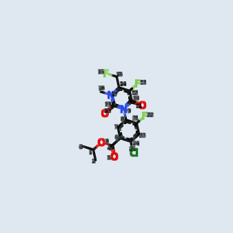 CC(C)OC(=O)c1cc(-n2c(=O)c(F)c(CF)n(C)c2=O)c(F)cc1Cl